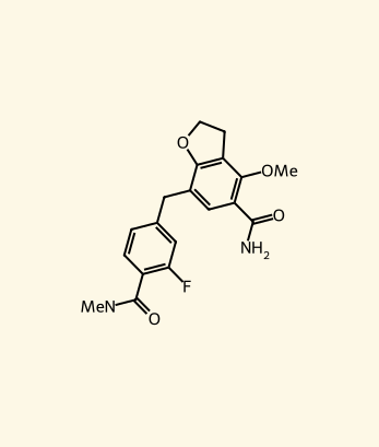 CNC(=O)c1ccc(Cc2cc(C(N)=O)c(OC)c3c2OCC3)cc1F